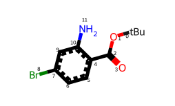 CC(C)(C)OC(=O)c1ccc(Br)cc1N